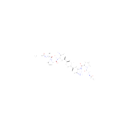 COC(O)NCC(O)N1CCCC1C(=O)NC1CC(C2CC=C(C3=CCC(N)C(NC(=O)[C@@H]4CCCN4C(=O)[C@@H](NC(O)OC)C(C)C)C3)CC2)=CCC1N